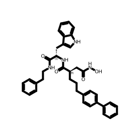 O=C(C[C@@H](CCCc1ccc(-c2ccccc2)cc1)C(=O)N[C@@H](Cc1c[nH]c2ccccc12)C(=O)NCCc1ccccc1)NO